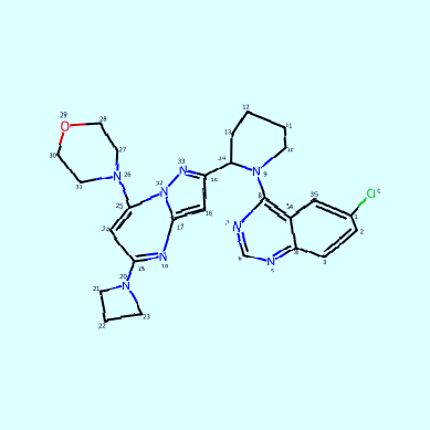 Clc1ccc2ncnc(N3CCCCC3c3cc4nc(N5CCC5)cc(N5CCOCC5)n4n3)c2c1